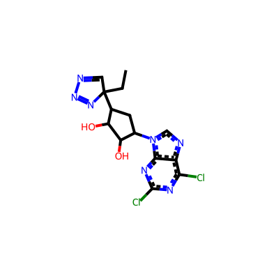 CCC1(C2CC(n3cnc4c(Cl)nc(Cl)nc43)C(O)C2O)C=NN=N1